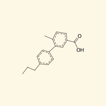 CCCc1ccc(-c2cc(C(=O)O)ccc2C)cc1